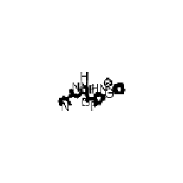 O=C(c1c(F)ccc(NS(=O)(=O)c2ccccc2)c1F)c1c[nH]c2ncc(-c3cccnc3)cc12